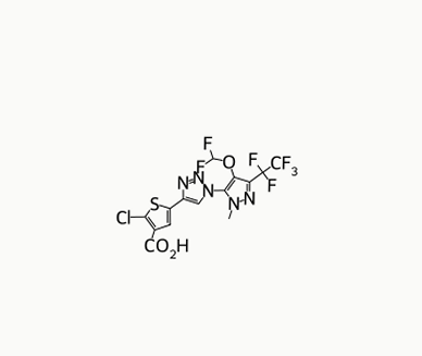 Cn1nc(C(F)(F)C(F)(F)F)c(OC(F)F)c1-n1cc(-c2cc(C(=O)O)c(Cl)s2)nn1